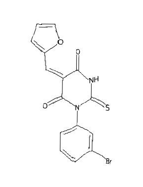 O=C1NC(=S)N(c2cccc(Br)c2)C(=O)/C1=C/c1ccco1